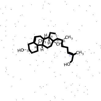 C/C(=C\CC[C@@H](C)[C@H]1CC[C@H]2[C@@H]3CC=C4C[C@@H](O)CC[C@]4(C)[C@H]3CC[C@]12C)CO